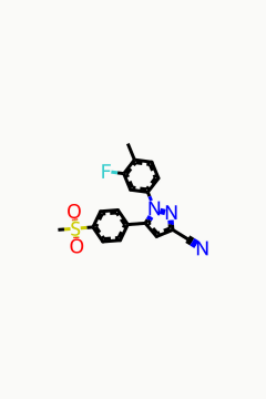 Cc1ccc(-n2nc(C#N)cc2-c2ccc(S(C)(=O)=O)cc2)cc1F